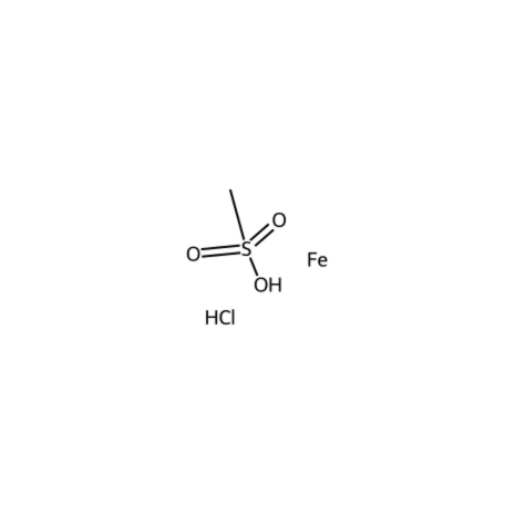 CS(=O)(=O)O.Cl.[Fe]